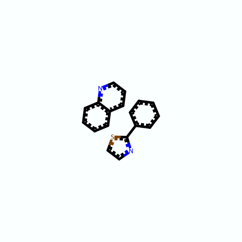 c1ccc(-c2nccs2)cc1.c1ccc2ncccc2c1